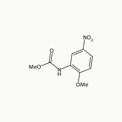 COC(=O)Nc1cc([N+](=O)[O-])ccc1OC